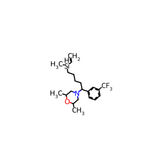 C=C[SiH](C)CCCCC(c1cccc(C(F)(F)F)c1)N1CC(C)OC(C)C1